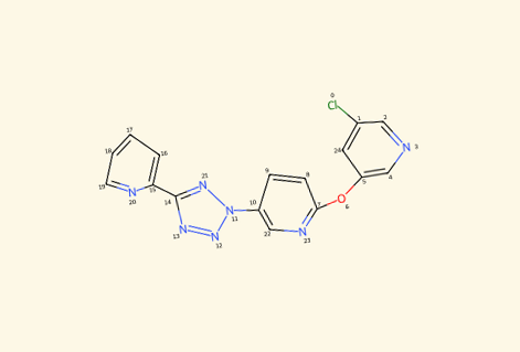 Clc1cncc(Oc2ccc(-n3nnc(-c4ccccn4)n3)cn2)c1